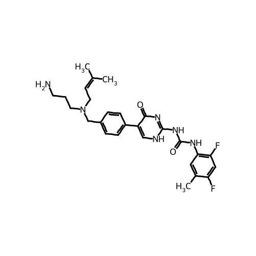 CC(C)=CCN(CCCN)Cc1ccc(-c2c[nH]c(NC(=O)Nc3cc(C)c(F)cc3F)nc2=O)cc1